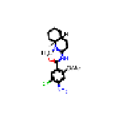 COc1cc(N)c(Cl)cc1C(=O)NC1CC[C@H]2CCCC[C@@H]2N1C